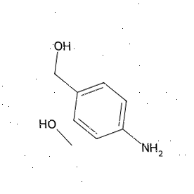 CO.Nc1ccc(CO)cc1